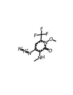 CNc1c(N=[N+]=[N-])cc(C(F)(F)F)n(OC)c1=O